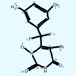 CCn1c(C(F)(F)c2cc(C)cc(C)c2)c(C(C)C)c(=O)[nH]c1=O